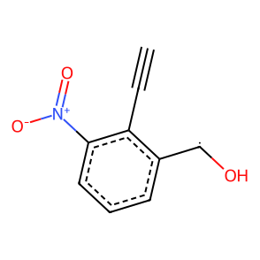 C#Cc1c([CH]O)cccc1[N+](=O)[O-]